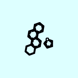 c1ccc2c(c1)ccc1c3c(ccc12)CCCC3.c1ccoc1